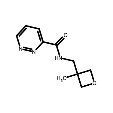 CC1(CNC(=O)c2cccnn2)COC1